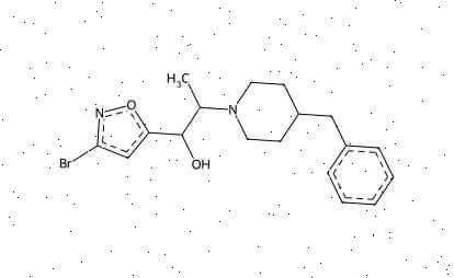 CC(C(O)c1cc(Br)no1)N1CCC(Cc2ccccc2)CC1